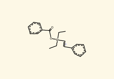 CC[Si](/C=C/c1ccccc1)(CC)OC(=O)c1ccccc1